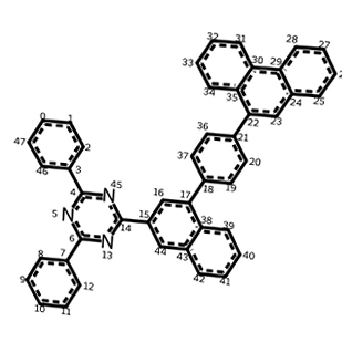 c1ccc(-c2nc(-c3ccccc3)nc(-c3cc(-c4ccc(-c5cc6ccccc6c6ccccc56)cc4)c4ccccc4c3)n2)cc1